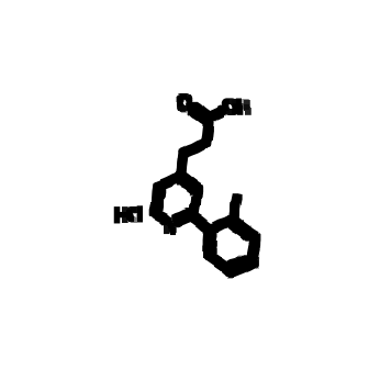 Cc1ccccc1-c1cc(CCC(=O)O)ccn1.Cl